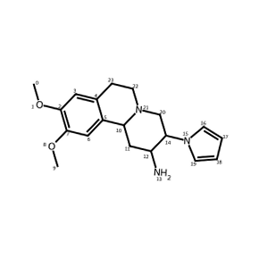 COc1cc2c(cc1OC)C1CC(N)C(n3cccc3)CN1CC2